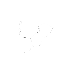 CC(=O)O[C@@H]1Cc2ccccc2[C@@H]1N=C=S